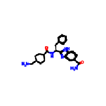 NCC1CCC(C(=O)N[C@@H](Cc2ccccc2)c2nc3cc(C(N)=O)ccc3[nH]2)CC1